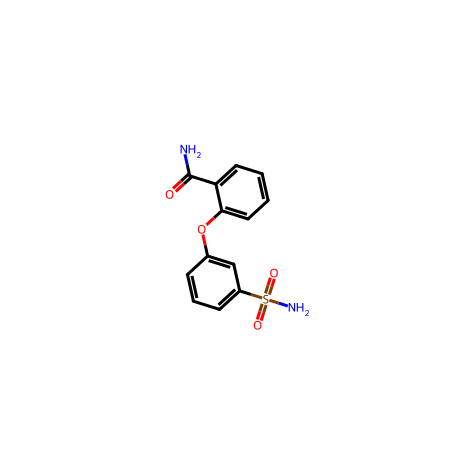 NC(=O)c1ccccc1Oc1cccc(S(N)(=O)=O)c1